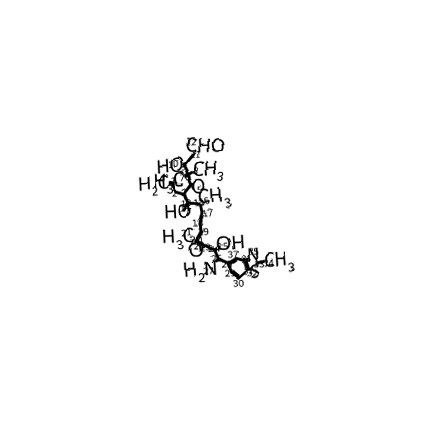 C=CCC(C(=O)C(C)(C)C(O)CC=O)C(O)C(C)CCCC1(C)OC1C(O)C(N)c1ccc2sc(C)nc2c1